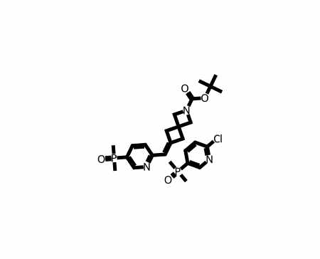 CC(C)(C)OC(=O)N1CC2(CC(=Cc3ccc(P(C)(C)=O)cn3)C2)C1.CP(C)(=O)c1ccc(Cl)nc1